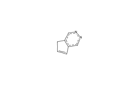 C1=Cc2cnncc2C1